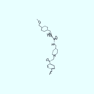 COCC1CCC(CNC(=O)NCC2CCN(CC(=O)c3ccc(F)cc3)CC2)CC1